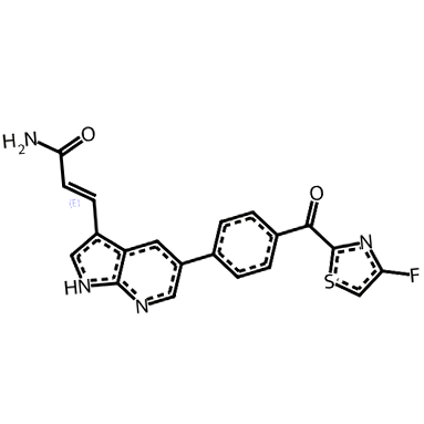 NC(=O)/C=C/c1c[nH]c2ncc(-c3ccc(C(=O)c4nc(F)cs4)cc3)cc12